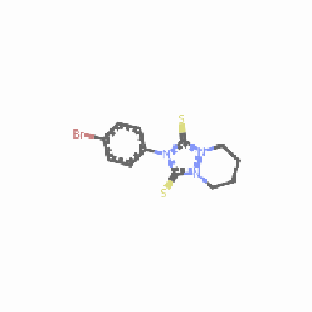 S=c1n(-c2ccc(Br)cc2)c(=S)n2n1CCCC2